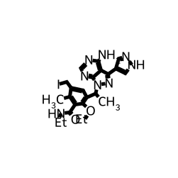 CCNC(=O)c1c(C)c(CI)cc(C(C)n2nc(-c3cn[nH]c3)c3c(N)ncnc32)c1OCC